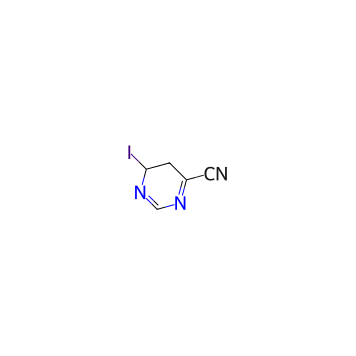 N#CC1=NC=NC(I)C1